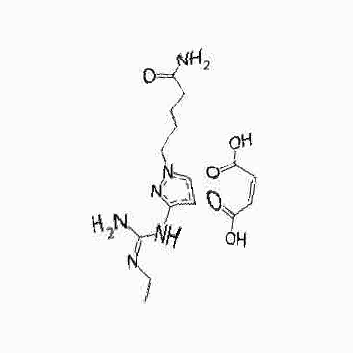 CC/N=C(/N)Nc1ccn(CCCCC(N)=O)n1.O=C(O)/C=C\C(=O)O